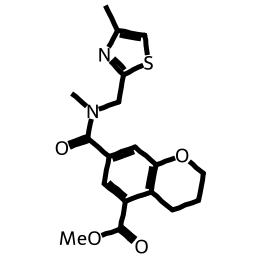 COC(=O)c1cc(C(=O)N(C)Cc2nc(C)cs2)cc2c1CCCO2